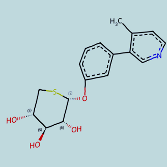 Cc1ccncc1-c1cccc(O[C@H]2SC[C@@H](O)[C@H](O)[C@H]2O)c1